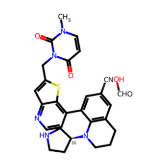 Cn1ccc(=O)n(Cc2cc3nccc(-c4cc(C#N)cc5c4N([C@H]4CCNC4)CCC5)c3s2)c1=O.O=CO